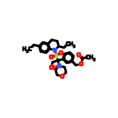 CCc1ccc2c(c1)CCC(CC)N2S(=O)(=O)C(CO)(c1cccc(COC(C)=O)c1)N1CCOCC1